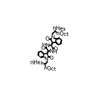 CCCCCCCCC(CCCCCC)CN1C(=O)/C(=c2\[nH]c(=O)/c(=C3/C(=O)N(CC(CCCCCC)CCCCCCCC)c4ccccc43)[nH]c2=O)c2ccccc21